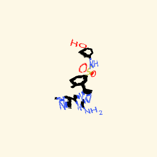 Cc1ccc(S(=O)(=O)NC2CCC(O)CC2)cc1-c1cnc2c(N)nc(-c3cnn(C)c3)cn12